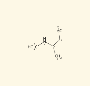 CC(=O)C[C@H](C)NC(=O)O